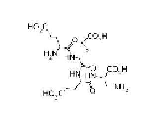 NC[C@@H](NC(=O)[C@@H](CCC(=O)O)NC(=O)[C@@H](CCC(=O)O)NC(=O)[C@@H](N)CCC(=O)O)C(=O)O